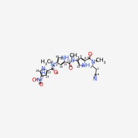 CN(CCC#N)C(=O)c1cc(N(C)C(=O)c2cc(N(C)C(=O)c3cc([N+](=O)[O-])c[nH]3)c[nH]2)c[nH]1